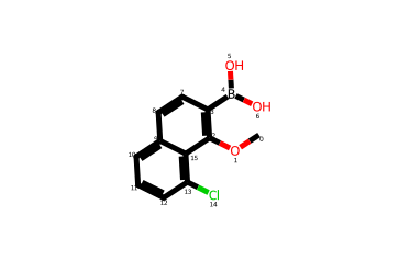 COc1c(B(O)O)ccc2cccc(Cl)c12